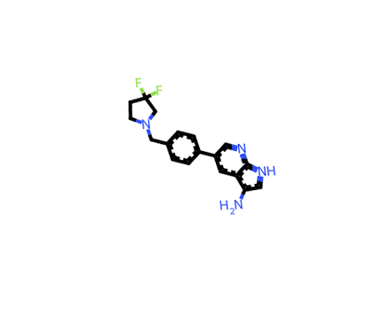 Nc1c[nH]c2ncc(-c3ccc(CN4CCC(F)(F)C4)cc3)cc12